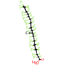 O=C(O)C(F)(F)C(F)(F)C(F)(F)C(F)(F)C(F)(F)C(F)(F)C(F)(F)C(F)(F)C(F)(F)C(F)(F)C(F)(F)C(F)(F)C(F)(F)C(F)(F)C(F)(F)F.[CaH2]